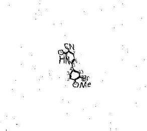 COc1ccc(-c2ccc(C#N)c(=O)[nH]2)cc1Br